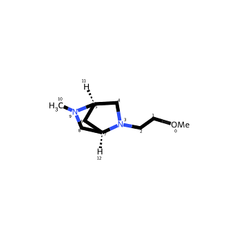 COCCN1C[C@H]2C[C@@H]1CN2C